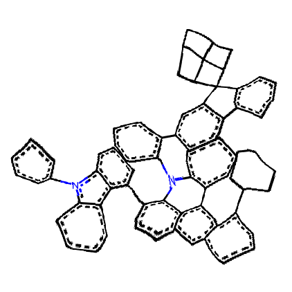 c1ccc(-n2c3ccccc3c3c(-c4ccccc4N(c4ccccc4-c4ccc5c(c4)C4(c6ccccc6-5)C5CC6CC7CC4C675)c4ccccc4-c4cccc5cccc(C6CCCCC6)c45)cccc32)cc1